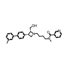 Cc1cccc(-c2ccc([C@@H]3CN(CCCCN(C)C(=O)c4cccnc4)[C@@H]3CO)cc2)c1